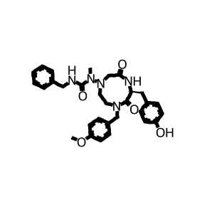 COc1ccc(CN2CCN(N(C)C(=O)NCc3ccccc3)CC(=O)N[C@@H](Cc3ccc(O)cc3)C2=O)cc1